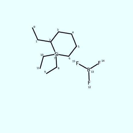 CCC1CCCC[Si]1(CC)CC.FB(F)F